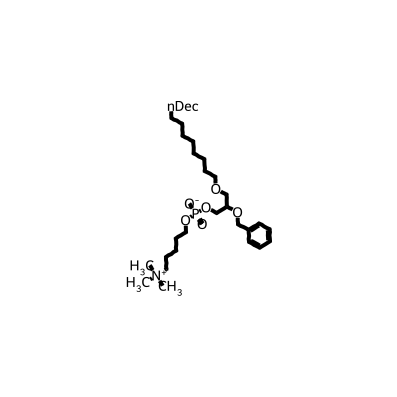 CCCCCCCCCCCCCCCCCCOCC(COP(=O)([O-])OCCCCC[N+](C)(C)C)OCc1ccccc1